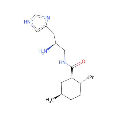 CC(C)[C@@H]1CC[C@@H](C)C[C@H]1C(=O)NC[C@@H](N)Cc1c[nH]cn1